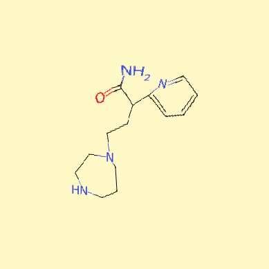 NC(=O)C(CCN1CCCNCC1)c1ccccn1